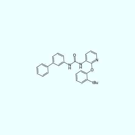 CC(C)(C)c1ccccc1Oc1ncccc1NC(=O)Nc1cccc(-c2ccccc2)c1